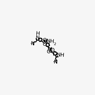 CN(C)CCc1c[nH]c2ccc(CS(=O)(=O)N(C)Cc3ccc(C(C)(N)S(=O)(=O)Cc4ccc5[nH]cc(CCN(C)C)c5c4)cc3)cc12